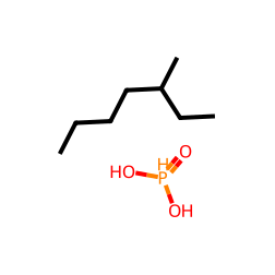 CCCCC(C)CC.O=[PH](O)O